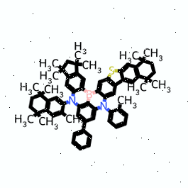 Cc1ccccc1N1c2cc3c(cc2B2c4cc5c(cc4N(c4cc6c(cc4C)C(C)(C)CCC6(C)C)c4cc(-c6ccccc6)cc1c42)C(C)(C)CC5(C)C)sc1cc2c(cc13)C(C)(C)CCC2(C)C